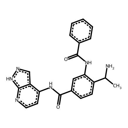 CC(N)c1ccc(C(=O)Nc2ccnc3[nH]ncc23)cc1NC(=O)c1ccccc1